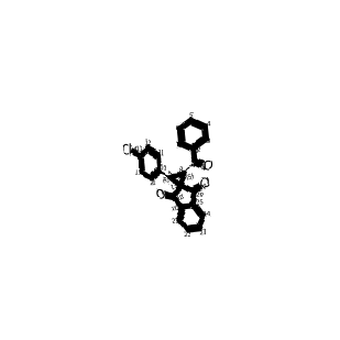 O=C(c1ccccc1)[C@H]1[C@H](c2ccc(Cl)cc2)C12C(=O)c1ccccc1C2=O